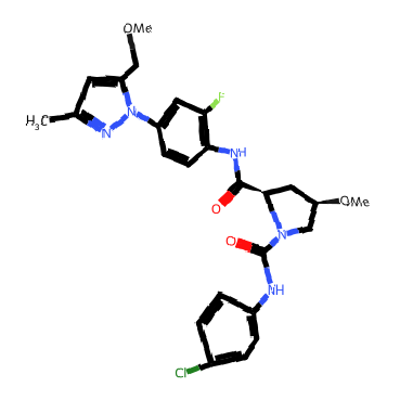 COCc1cc(C)nn1-c1ccc(NC(=O)[C@H]2C[C@@H](OC)CN2C(=O)Nc2ccc(Cl)cc2)c(F)c1